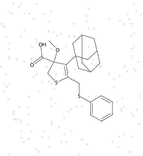 COC1(C(=O)O)CSC(CSc2ccccc2)=C1C12CC3CC(CC(C3)C1)C2